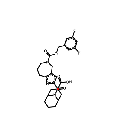 O=C(O)C1CC2CCCC(C1)N2C(=O)c1cc2n(n1)CCCN(C(=O)OCc1cc(F)cc(Cl)c1)C2